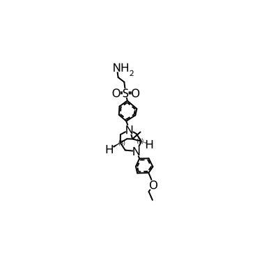 CCOc1ccc(N2C[C@@H]3CN(c4ccc(S(=O)(=O)CCN)cc4)C[C@@H]2C(C)(C)C3)cc1